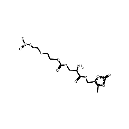 Cc1oc(=O)oc1COC(=O)C(N)COC(=O)OCCOCCO[N+](=O)[O-]